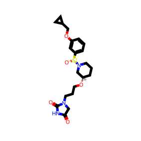 O=C1CN(CCCO[C@H]2CCCN([S+]([O-])c3cccc(OCC4CC4)c3)C2)C(=O)N1